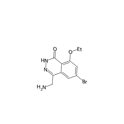 CCOc1cc(Br)cc2c(CN)n[nH]c(=O)c12